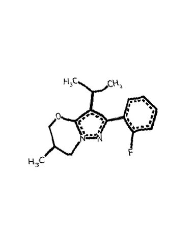 CC1COc2c(C(C)C)c(-c3ccccc3F)nn2C1